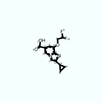 O=C(O)c1cc(OCC(F)F)c2nc(C3CC3)cn2c1